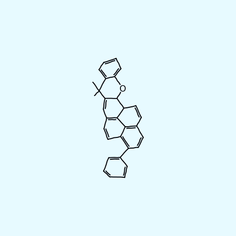 CC1(C)C2=Cc3ccc4c(-c5ccccc5)ccc5c4c3C(C=C5)C2Oc2ccccc21